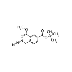 COC(=O)c1cc(C(=O)OC(C)(C)C)ccc1CN=[N+]=[N-]